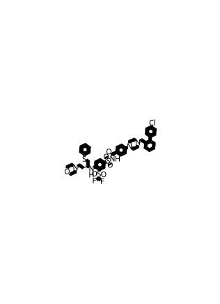 O=C(NS(=O)(=O)c1ccc(N[C@H](CCN2CCOCC2)CSc2ccccc2)c(S(=O)(=O)C(F)F)c1)c1ccc(N2CCN(CC3=C(c4ccc(Cl)cc4)CCCC3)CC2)cc1